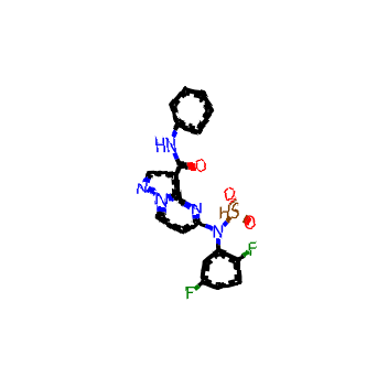 O=C(Nc1ccccc1)c1cnn2ccc(N(c3cc(F)ccc3F)[SH](=O)=O)nc12